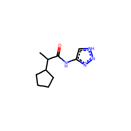 CC(C(=O)Nc1c[nH]nn1)C1CCCC1